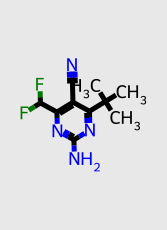 CC(C)(C)c1nc(N)nc(C(F)F)c1C#N